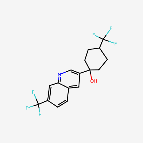 OC1(c2cnc3cc(C(F)(F)F)ccc3c2)CCC(C(F)(F)F)CC1